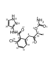 C[C@H](OC(N)=O)C(=O)Cc1cccc(Cl)c1C(=O)Nc1cc[nH]n1